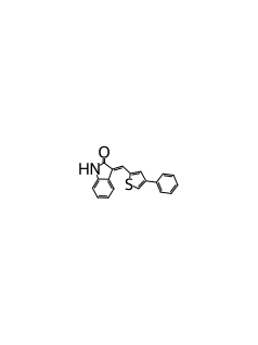 O=C1Nc2ccccc2/C1=C\c1cc(-c2ccccc2)cs1